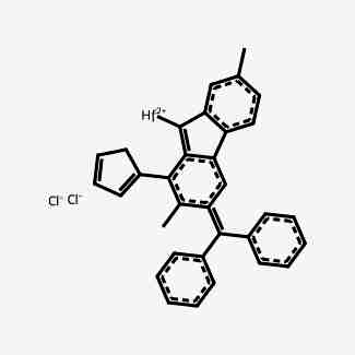 Cc1ccc2c(c1)[C]([Hf+2])=c1c-2cc(=C(c2ccccc2)c2ccccc2)c(C)c1C1=CC=CC1.[Cl-].[Cl-]